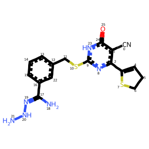 N#Cc1c(C2=CCCS2)nc(SCc2cccc(/C(N)=N/NN)c2)[nH]c1=O